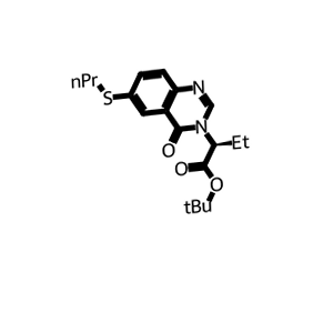 CCCSc1ccc2ncn([C@@H](CC)C(=O)OC(C)(C)C)c(=O)c2c1